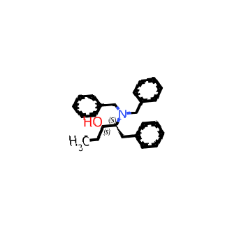 CC[C@H](O)[C@H](Cc1ccccc1)N(Cc1ccccc1)Cc1ccccc1